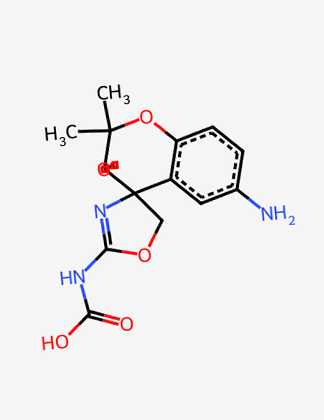 CC1(C)Oc2ccc(N)cc2C2(COC(NC(=O)O)=N2)C12COC2